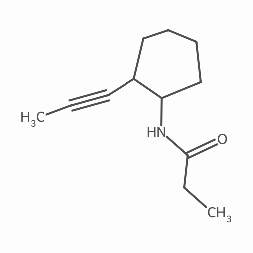 CC#CC1CCCCC1NC(=O)CC